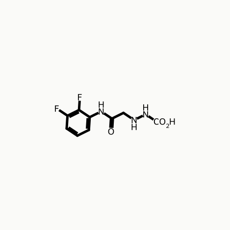 O=C(O)NNCC(=O)Nc1cccc(F)c1F